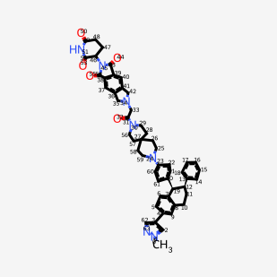 Cn1cc(-c2ccc3c(c2)CC[C@H](c2ccccc2)[C@@H]3c2ccc(N3CCC4(CCN(C(=O)CN5Cc6cc7c(cc6C5)C(=O)N(C5CCC(=O)NC5=O)C7=O)CC4)CC3)cc2)cn1